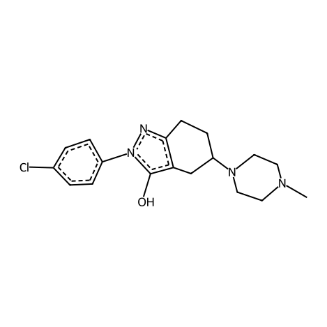 CN1CCN(C2CCc3nn(-c4ccc(Cl)cc4)c(O)c3C2)CC1